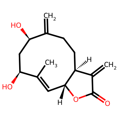 C=C1CC[C@H]2C(=C)C(=O)O[C@@H]2/C=C(\C)[C@@H](O)C[C@H]1O